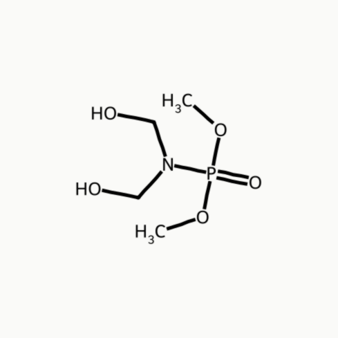 COP(=O)(OC)N(CO)CO